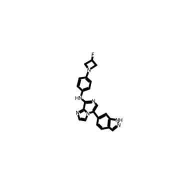 FC1CN(c2ccc(Nc3ncc(-c4ccc5cn[nH]c5c4)n4ccnc34)cc2)C1